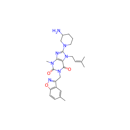 CC(C)=CCn1c(N2CCCC(N)C2)nc2c1c(=O)n(Cc1noc3ccc(C)cc13)c(=O)n2C